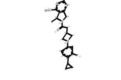 COc1nc(C#N)nc2c1C(C)N(C(=O)CC1CN(c3ccc(C4CC4)c(F)c3)C1)C2